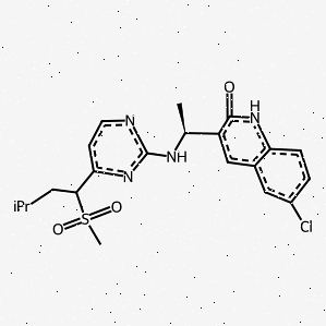 CC(C)CC(c1ccnc(N[C@@H](C)c2cc3cc(Cl)ccc3[nH]c2=O)n1)S(C)(=O)=O